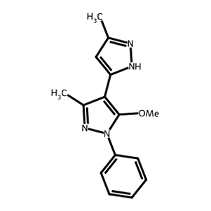 COc1c(-c2cc(C)n[nH]2)c(C)nn1-c1ccccc1